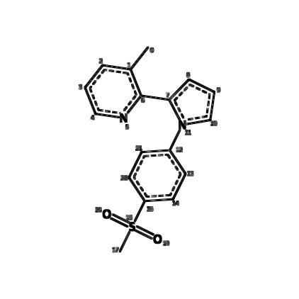 Cc1cccnc1-c1cccn1-c1ccc(S(C)(=O)=O)cc1